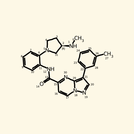 CN[C@@H]1CCN(c2ccccc2NC(=O)c2ccn3ncc(-c4cccc(C)c4)c3n2)C1